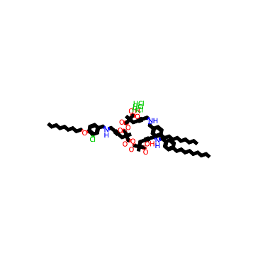 CCCCCCCCCOc1ccc(CNCC#CCC(C)(C(=O)OC(=O)C(C)(CC#CCNCc2ccc(CCCCCCCCC)cc2)C(=O)O)C(=O)OC(=O)C(C)(CC#CCNCc2ccc(CCCCCCCCC)cc2)C(=O)O)cc1Cl.Cl.Cl.Cl